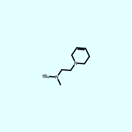 CN(CCN1CC=CCC1)C(C)(C)C